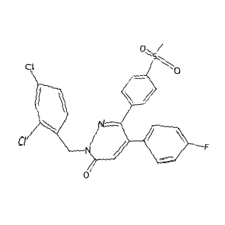 CS(=O)(=O)c1ccc(-c2nn(Cc3ccc(Cl)cc3Cl)c(=O)cc2-c2ccc(F)cc2)cc1